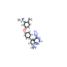 CC(=O)c1ccc(Oc2ccc(-c3cn(C(C)C)c4ncnc(N)c34)cc2)cc1C